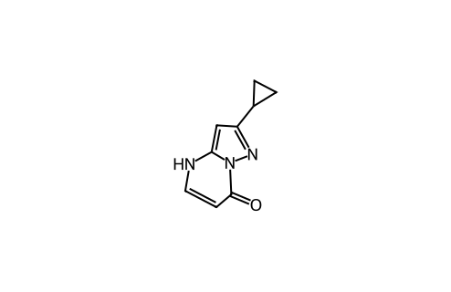 O=c1cc[nH]c2cc(C3CC3)nn12